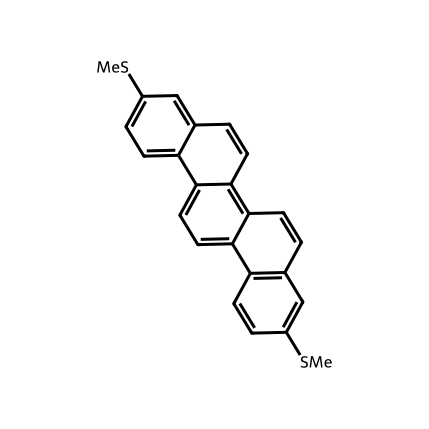 CSc1ccc2c(ccc3c2ccc2c4ccc(SC)cc4ccc23)c1